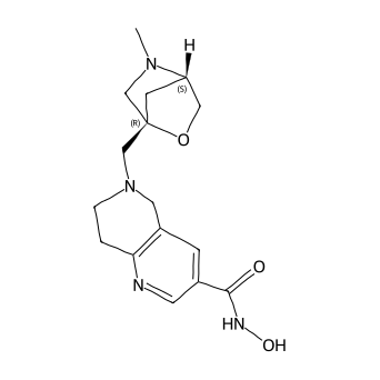 CN1C[C@]2(CN3CCc4ncc(C(=O)NO)cc4C3)C[C@H]1CO2